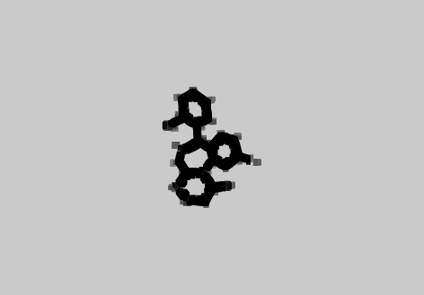 O=c1cnnc2n1-c1cc(F)ccc1C(c1ccccc1Cl)=NC2